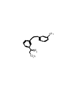 NC(CC(=O)O)c1cccc(Cc2cccc(C(F)(F)F)c2)c1